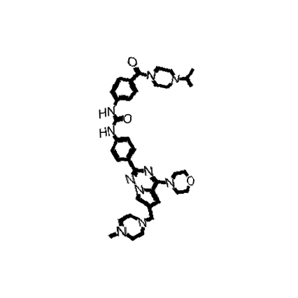 CC(C)N1CCN(C(=O)c2ccc(NC(=O)Nc3ccc(-c4nc(N5CCOCC5)c5cc(CN6CCN(C)CC6)cn5n4)cc3)cc2)CC1